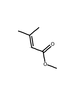 COC(=O)[C]=C(C)C